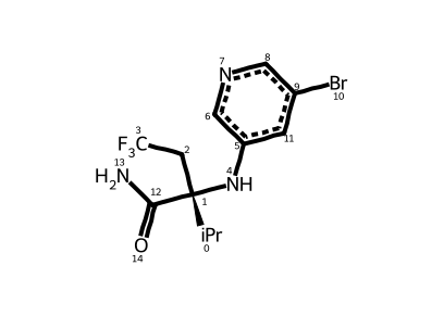 CC(C)[C@@](CC(F)(F)F)(Nc1cncc(Br)c1)C(N)=O